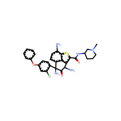 CN1CCCC(NC(=O)c2sc3c(N)ccc4c3c2C(N)C(=O)C4(N)c2ccc(Oc3ccccc3)cc2Cl)C1